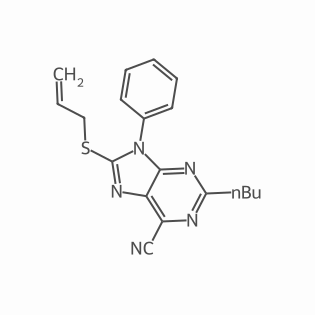 C=CCSc1nc2c(C#N)nc(CCCC)nc2n1-c1ccccc1